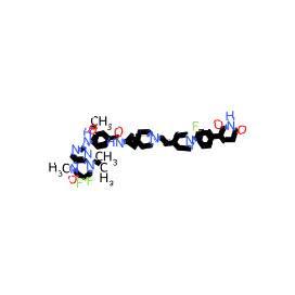 COc1cc(C(=O)NC2CC3(CCN(CCC4CCN(c5ccc(C6CCC(=O)NC6=O)cc5F)CC4)CC3)C2)ccc1Nc1ncc2c(n1)N(C(C)C)CC(F)(F)C(=O)N2C